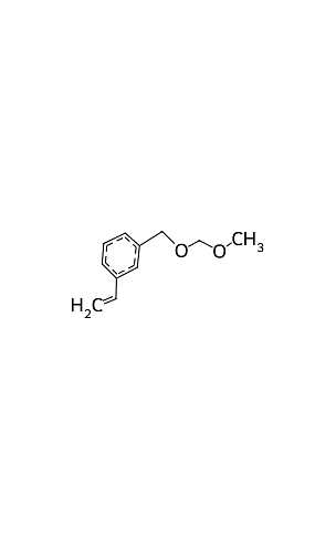 C=Cc1cccc(COCOC)c1